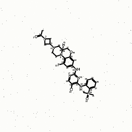 CC(=O)N1CC(N2CCN3c4c(F)cc(Nc5ncc(Cl)c(Nc6ccccc6P(C)(C)=O)n5)cc4OC[C@H]3C2)C1